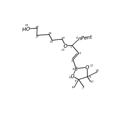 CCCCCC(/C=C/B1OC(C)(C)C(C)(C)O1)OCCCCCO